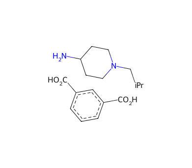 CC(C)CN1CCC(N)CC1.O=C(O)c1cccc(C(=O)O)c1